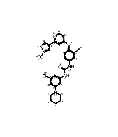 Cn1cc(-c2cc(Oc3ccc(NC(=O)Nc4cc(Cl)cc(N5CCCCC5)c4)cc3F)ccn2)cn1